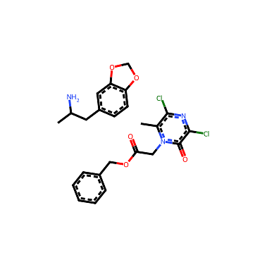 CC(N)Cc1ccc2c(c1)OCO2.Cc1c(Cl)nc(Cl)c(=O)n1CC(=O)OCc1ccccc1